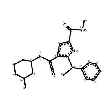 CNC(=O)c1cc(C(=O)NC2CCCC(C)C2)n(C(C)c2ccccc2)n1